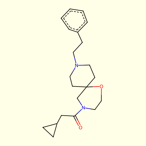 O=C(CC1CC1)N1CCOC2(CCN(CCc3ccccc3)CC2)C1